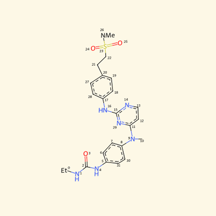 CCNC(=O)Nc1ccc(N(C)c2ccnc(Nc3ccc(CCS(=O)(=O)NC)cc3)n2)cc1